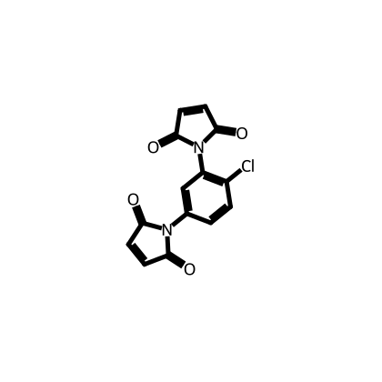 O=C1C=CC(=O)N1c1ccc(Cl)c(N2C(=O)C=CC2=O)c1